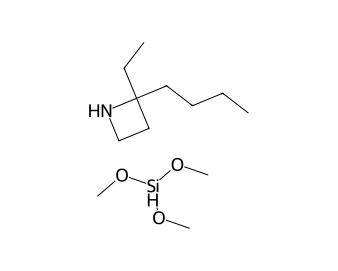 CCCCC1(CC)CCN1.CO[SiH](OC)OC